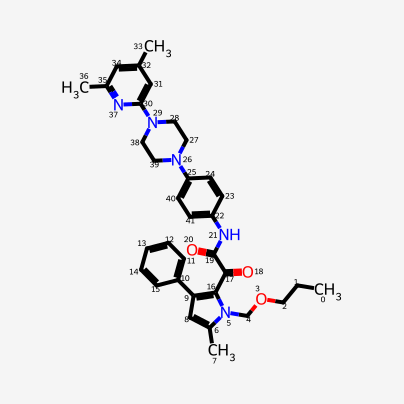 CCCOCn1c(C)cc(-c2ccccc2)c1C(=O)C(=O)Nc1ccc(N2CCN(c3cc(C)cc(C)n3)CC2)cc1